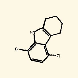 Clc1ccc(Br)c2[nH]c3c(c12)CCCC3